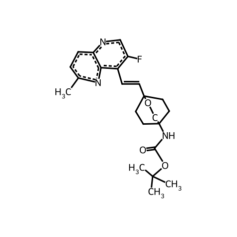 Cc1ccc2ncc(F)c(C=CC34CCC(NC(=O)OC(C)(C)C)(CC3)CO4)c2n1